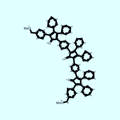 COCc1ccc(C2=C(c3ccccc3)C(c3ccccc3)=C(c3ccc(C4=C(c5ccccc5)C(c5ccccc5)=C(c5ccc(C6=C(c7ccccc7)C(c7ccccc7)=C(c7ccc(COC)cc7)C6=O)cc5)C4=O)cc3)C2=O)cc1